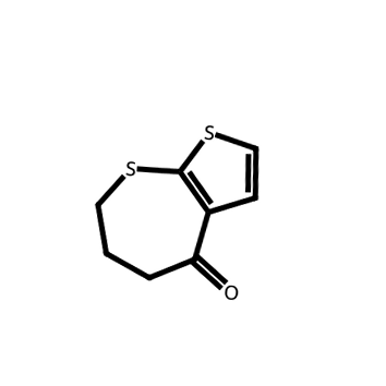 O=C1CCCSc2sccc21